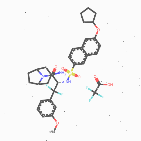 CCCCOc1cccc(C(F)(F)[C@@H](NS(=O)(=O)c2ccc3cc(OC4CCCC4)ccc3c2)C(=O)N2C3CCC2CC(N)C3)c1.O=C(O)C(F)(F)F